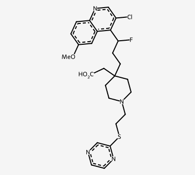 COc1ccc2ncc(Cl)c(C(F)CCC3(CC(=O)O)CCN(CCSc4cnccn4)CC3)c2c1